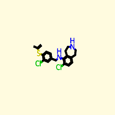 C=C(C)Sc1ccc(CNc2c(Cl)ccc3c2CCNCC3)cc1Cl